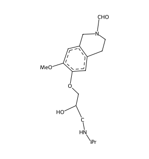 COc1cc2c(cc1OCC(O)CNC(C)C)CCN(C=O)C2